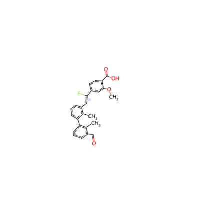 COc1cc(/C(F)=C/c2cccc(-c3cccc(C=O)c3C)c2C)ccc1C(=O)O